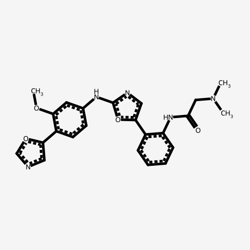 COc1cc(Nc2ncc(-c3ccccc3NC(=O)CN(C)C)o2)ccc1-c1cnco1